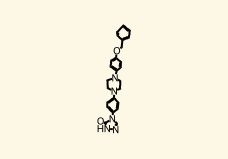 O=c1[nH]ncn1-c1ccc(N2CCN(c3ccc(OCc4ccccc4)cc3)CC2)cc1